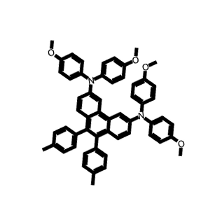 COc1ccc(N(c2ccc(OC)cc2)c2ccc3c(-c4ccc(C)cc4)c(-c4ccc(C)cc4)c4ccc(N(c5ccc(OC)cc5)c5ccc(OC)cc5)cc4c3c2)cc1